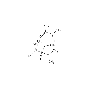 CC(C)C(N)=O.CN(C)P(=O)(N(C)C)N(C)C